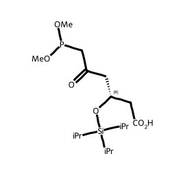 COP(CC(=O)C[C@H](CC(=O)O)O[Si](C(C)C)(C(C)C)C(C)C)OC